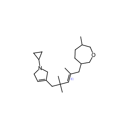 C/C(=C\C(C)(C)CC1=CCN(C2CC2)C1)CC1CCC(C)COC1